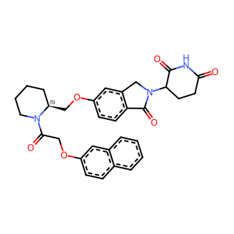 O=C1CCC(N2Cc3cc(OC[C@@H]4CCCCN4C(=O)COc4ccc5ccccc5c4)ccc3C2=O)C(=O)N1